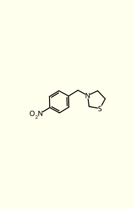 O=[N+]([O-])c1ccc(CN2CCSC2)cc1